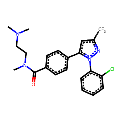 CN(C)CCN(C)C(=O)c1ccc(-c2cc(C(F)(F)F)nn2-c2ccccc2Cl)cc1